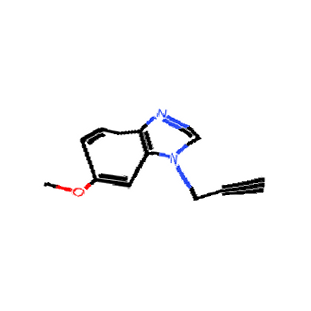 C#CCn1cnc2ccc(OC)cc21